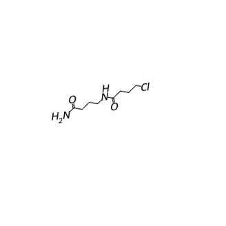 NC(=O)CCCNC(=O)CCCCl